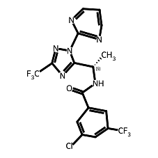 C[C@H](NC(=O)c1cc(Cl)cc(C(F)(F)F)c1)c1nc(C(F)(F)F)nn1-c1ncccn1